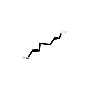 CCCCCCC=CCCC=CCCCCCC